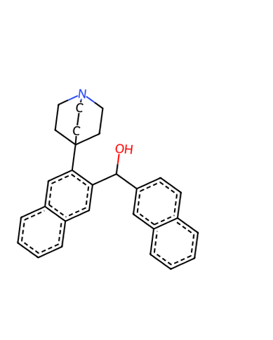 OC(c1ccc2ccccc2c1)c1cc2ccccc2cc1C12CCN(CC1)CC2